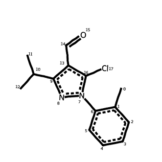 Cc1ccccc1-n1nc(C(C)C)c(C=O)c1Cl